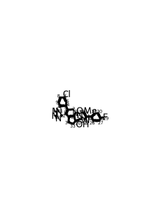 CO[n+]1cc(-c2cc(Cl)ccc2-n2cnnn2)cc2c1C(O)(c1ncc(-c3ccc(F)cc3)[nH]1)CC2